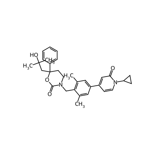 Cc1cc(-c2ccn(C3CC3)c(=O)c2)cc(C)c1CN1CCC(CC(C)(C)O)(c2ccccc2)OC1=O